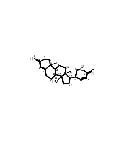 C[C@]12CCC(=N)C=C1CCC1C2CC[C@]2(C)[C@@H](C3C=CC(=O)OC3)CC[C@]12O